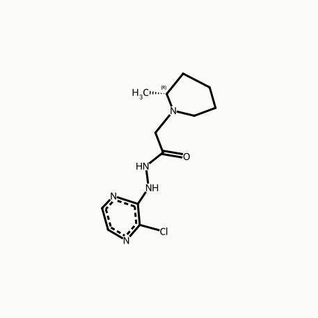 C[C@@H]1CCCCN1CC(=O)NNc1nccnc1Cl